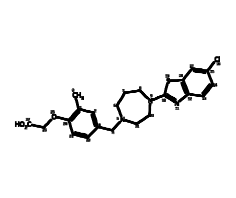 Cc1cc(CN2CCCN(c3nc4ccc(Cl)cc4s3)CC2)ccc1OCC(=O)O